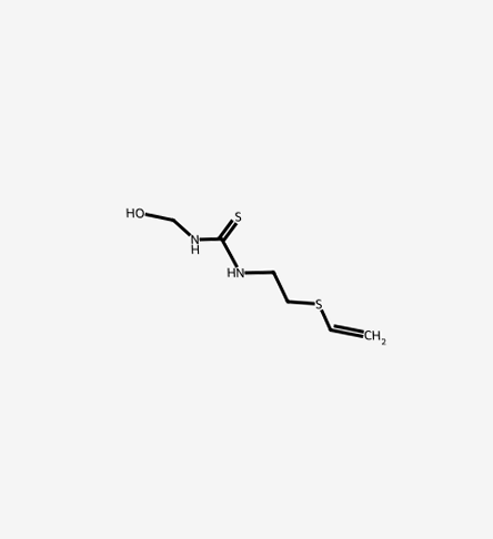 C=CSCCNC(=S)NCO